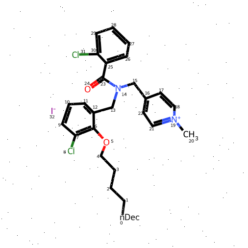 CCCCCCCCCCCCCCOc1c(Cl)cccc1CN(Cc1cc[n+](C)cc1)C(=O)c1ccccc1Cl.[I-]